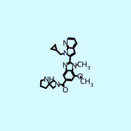 COc1cc(C(=O)N2CC3(CCCN3)C2)cc2nc(-c3cc4cccnc4n3CC3CC3)n(C)c12